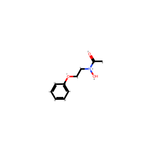 CC(=O)N(O)CCOc1ccccc1